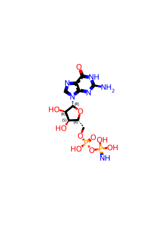 N=P(O)(O)OP(=O)(O)OC[C@H]1O[C@@H](n2cnc3c(=O)[nH]c(N)nc32)[C@H](O)[C@@H]1O